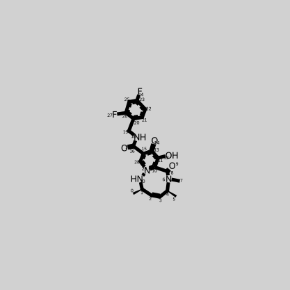 C[C@@H]1/C=C\[C@H](C)N(C)C(=O)c2c(O)c(=O)c(C(=O)NCc3ccc(F)cc3F)cn2N1